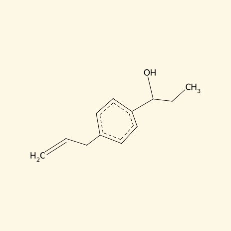 C=CCc1ccc(C(O)CC)cc1